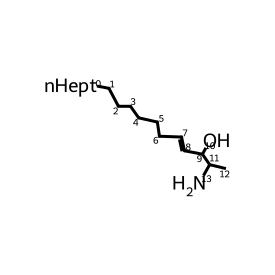 CCCCCCCCCCCCCC=CC(O)C(C)N